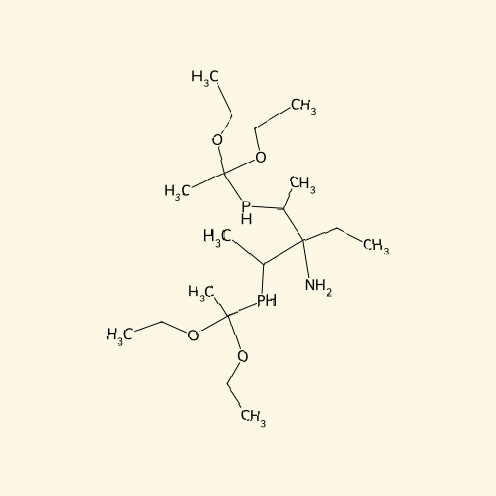 CCOC(C)(OCC)PC(C)C(N)(CC)C(C)PC(C)(OCC)OCC